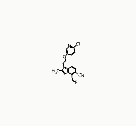 Cc1cc2c(CF)c(C#N)ccc2n1CCOc1ccc(Cl)nc1